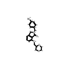 O=C1c2c(cccc2OCC2COCCO2)CN1Cc1ccc(Br)cc1